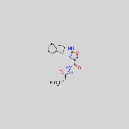 CCOC(=O)CC(=O)NNC(=O)c1coc(NC2Cc3ccccc3C2)n1